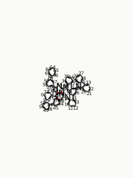 c1ccc(-c2ccc(-n3c4ccccc4c4cc(-n5c6ccccc6c6ccccc65)c5c6ccccc6n(-c6nc(-c7cccc(-c8ccccc8)c7)nc(-c7cccc(-c8ccccc8)c7)n6)c5c43)cc2)cc1